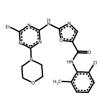 CCc1nc(Nc2ncc(C(=O)Nc3c(C)cccc3Cl)o2)nc(N2CCOCC2)n1